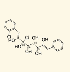 OC(=Cc1ccccc1)[C@@H](O)[C@@H](O)[C@H](O)[C@](O)(Cl)C(O)=Cc1ccccc1Cl